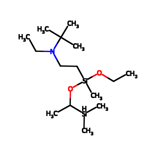 CCO[Si](C)(CCN(CC)C(C)(C)C)OC(C)[SiH](C)C